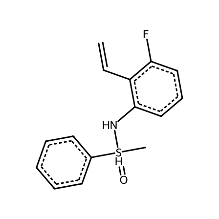 C=Cc1c(F)cccc1N[SH](C)(=O)c1ccccc1